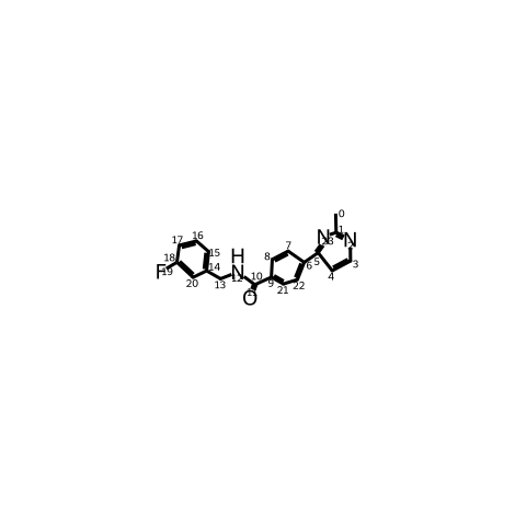 Cc1nccc(-c2ccc(C(=O)NCc3cccc(F)c3)cc2)n1